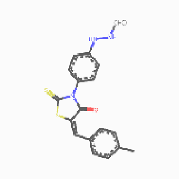 Cc1ccc(C=C2SC(=S)N(c3ccc(NNC=O)cc3)C2=O)cc1